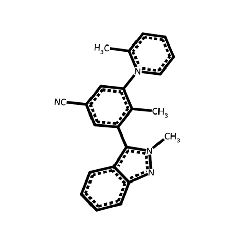 Cc1c(-c2c3ccccc3nn2C)cc(C#N)cc1-[n+]1ccccc1C